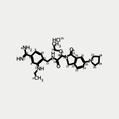 CCNc1cc(C(=N)N)ccc1CNC(=O)[C@H](OCC)N1Cc2ccc(N3CCCC3)cc2C1=O.Cl